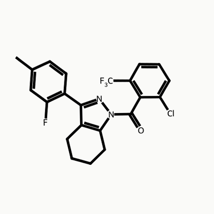 Cc1ccc(-c2nn(C(=O)c3c(Cl)cccc3C(F)(F)F)c3c2CCCC3)c(F)c1